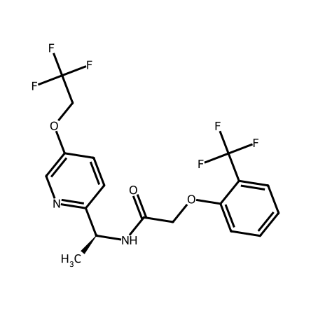 C[C@H](NC(=O)COc1ccccc1C(F)(F)F)c1ccc(OCC(F)(F)F)cn1